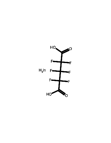 O=C(O)C(F)(F)C(F)(F)C(F)(F)C(=O)O.[InH3]